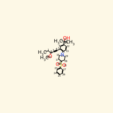 CC[C@@H](C#Cc1cc(C(C)(C)O)ccc1N1CCC(S(=O)(=O)c2ccccc2)CC1)OC